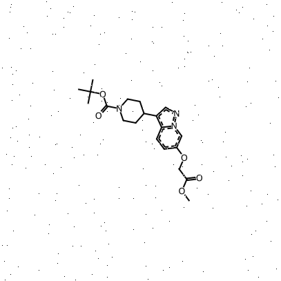 COC(=O)COc1ccc2c(C3CCN(C(=O)OC(C)(C)C)CC3)cnn2c1